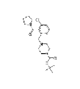 CC(C)(C)OC(=O)N1CCN(Cc2cccc(Cl)c2C(=O)N2CCCC2)CC1